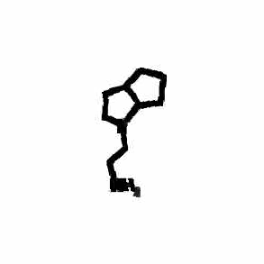 NCCN1CCC2CCCC21